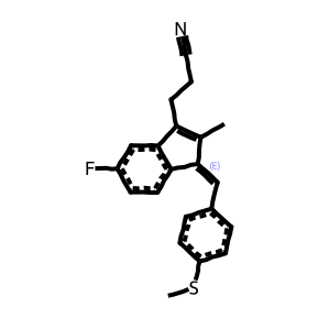 CSc1ccc(/C=C2/C(C)=C(CCC#N)c3cc(F)ccc32)cc1